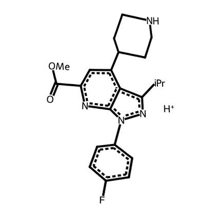 COC(=O)c1cc(C2CCNCC2)c2c(C(C)C)nn(-c3ccc(F)cc3)c2n1.[H+]